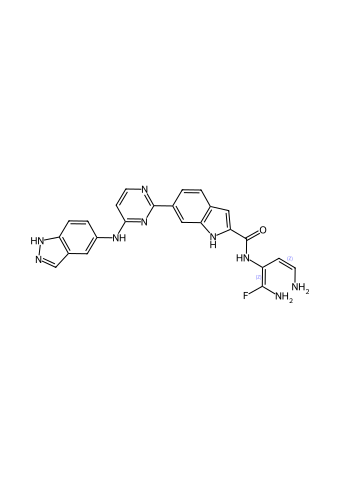 N/C=C\C(NC(=O)c1cc2ccc(-c3nccc(Nc4ccc5[nH]ncc5c4)n3)cc2[nH]1)=C(/N)F